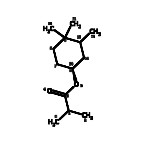 CC(C)C(=O)O[C@H]1CCC(C)(C)C(C)C1